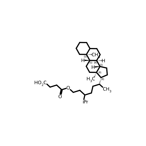 CC(C)C(CCOC(=O)CCC(=O)O)CCC(C)[C@H]1CC[C@H]2[C@@H]3CCC4CCCC[C@]4(C)[C@H]3CC[C@]12C